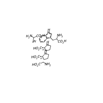 CC(C)C(N)C(=O)O.NC(Cc1c[nH]c2ccccc12)C(=O)O.NCC(=O)O.O=C(O)[C@@H]1CCCN1.O=C(O)[C@@H]1CCCN1